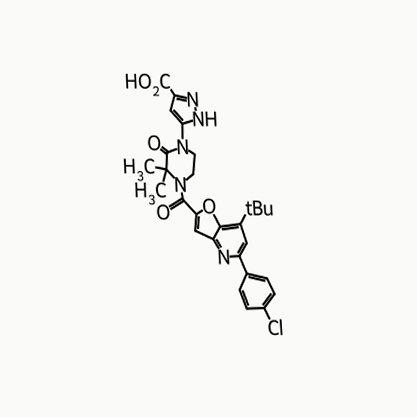 CC(C)(C)c1cc(-c2ccc(Cl)cc2)nc2cc(C(=O)N3CCN(c4cc(C(=O)O)n[nH]4)C(=O)C3(C)C)oc12